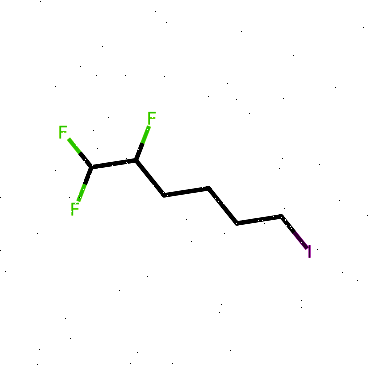 FC(F)C(F)CCCCI